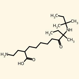 CCC(C)(C)NC(C)(CC)C(=O)CCCCCC(CCN)C(=O)O